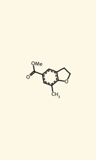 COC(=O)c1cc(C)c2c(c1)CCO2